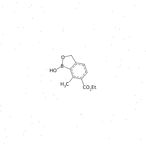 CCOC(=O)c1ccc2c(c1C)B(O)OC2